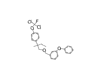 CCC(C)(COCc1cccc(Oc2ccccc2)c1)c1ccc(OC(F)(Cl)Cl)cc1